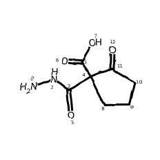 NNC(=O)C1(C(=O)O)CCCC1=O